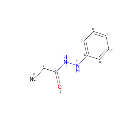 N#CCC(=O)NNc1ccccc1